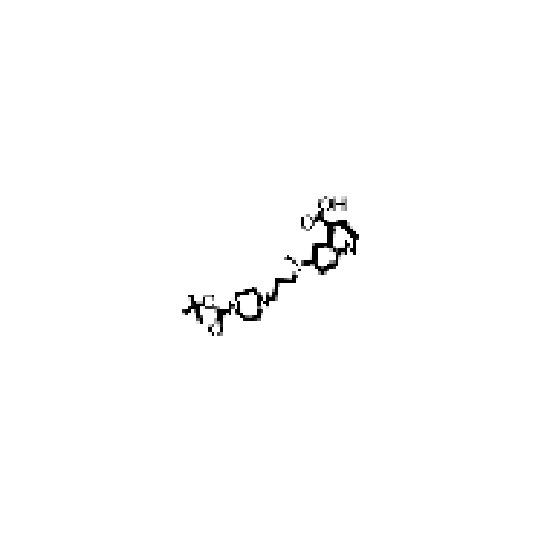 CN(CCCN1CCN(C(=O)OC(C)(C)C)CC1)c1ccc2nccc(C(=O)O)c2c1